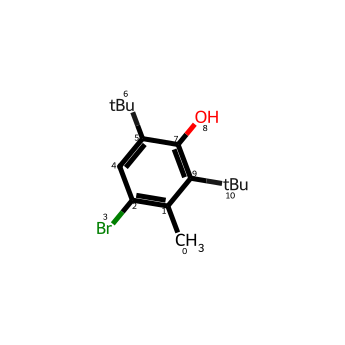 Cc1c(Br)cc(C(C)(C)C)c(O)c1C(C)(C)C